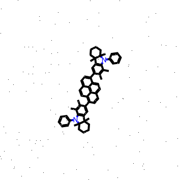 Cc1c(-c2ccc3ccc4c(-c5cc6c(c(C)c5C)N(c5ccccc5)C5(C)CCCCC65C)ccc5ccc2c3c54)cc2c(c1C)N(c1ccccc1)C1(C)CCCCC21C